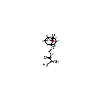 CC(O)C(=O)OCOC12CC3CC(C1)OC(=O)C(C3)C2